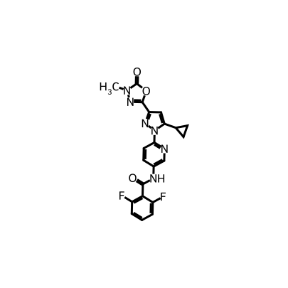 Cn1nc(-c2cc(C3CC3)n(-c3ccc(NC(=O)c4c(F)cccc4F)cn3)n2)oc1=O